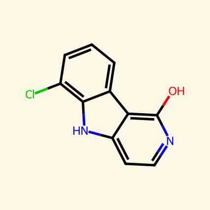 Oc1nccc2[nH]c3c(Cl)cccc3c12